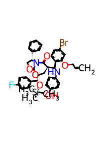 C=CCOc1cc(Br)ccc1[C@@H](Nc1ccc(O)cc1)[C@@H](CC[C@H](O[Si](C)(C)C)c1ccc(F)cc1)C(=O)N1C(=O)OC[C@@H]1c1ccccc1